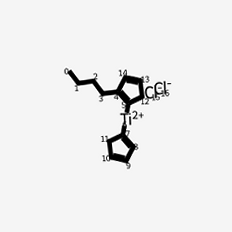 CCCCC1=[C]([Ti+2][C]2=CC=CC2)CC=C1.[Cl-].[Cl-]